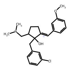 COc1cccc(/C=C2\CCC(CN(C)C)C2(O)Cc2cccc(Cl)c2)c1